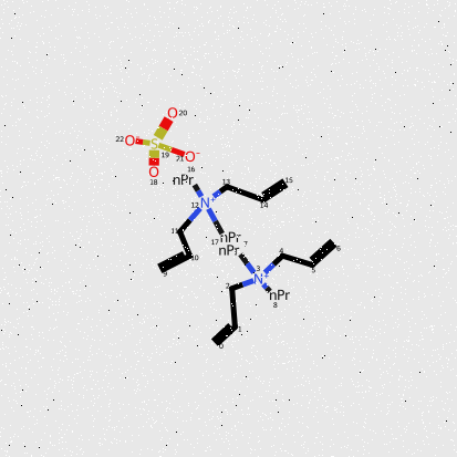 C=CC[N+](CC=C)(CCC)CCC.C=CC[N+](CC=C)(CCC)CCC.O=S(=O)([O-])[O-]